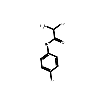 CC(C)C(N)C(=O)Nc1ccc(Br)cc1